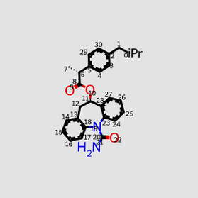 CC(C)Cc1ccc([C@@H](C)C(=O)O[C@@H]2Cc3ccccc3N(C(N)=O)c3ccccc32)cc1